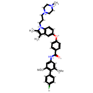 COc1cc(NC(=O)c2ccc(Oc3ccc4c(c3)c(C)c(C)n4CCCN3CCN(C)CC3)cc2)cc(OC)c1-c1ccc(F)cc1